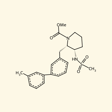 COC(=O)N1CCC[C@H](NS(C)(=O)=O)[C@@H]1Cc1cccc(-c2cccc(C)c2)c1